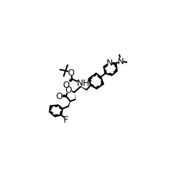 CN(C)c1ccc(-c2ccc(C[C@H](NC(=O)OC(C)(C)C)[C@@H]3C[C@@H](Cc4ccccc4F)C(=O)O3)cc2)cn1